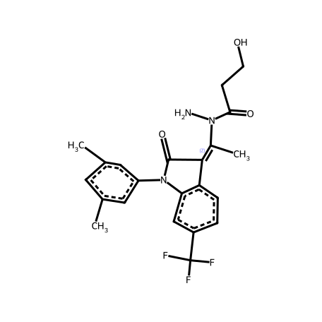 C/C(=C1/C(=O)N(c2cc(C)cc(C)c2)c2cc(C(F)(F)F)ccc21)N(N)C(=O)CCO